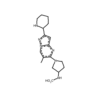 Cc1cn2nc(C3CCCCN3)cc2nc1N1CCC(NC(=O)O)C1